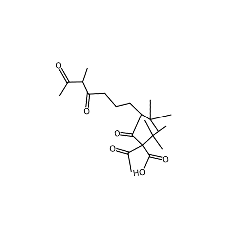 CC(=O)C(C)C(=O)CCCC(C(=O)C(C(C)=O)(C(=O)O)C(C)(C)C)C(C)(C)C